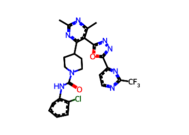 Cc1nc(C)c(-c2nnc(-c3ccnc(C(F)(F)F)n3)o2)c(C2CCN(C(=O)Nc3ccccc3Cl)CC2)n1